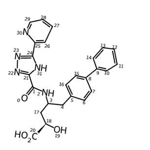 O=C(NC(Cc1ccc(-c2ccccc2)cc1)C[C@@H](O)C(=O)O)c1nnc(-c2ccccn2)[nH]1